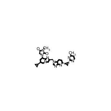 Cc1ccnc([C@@H]2C[C@H]2c2ccc3c(ncn3Cc3cn4cc(C5CC5)cc(N5CC(=O)N(C)C5=O)c4n3)n2)n1